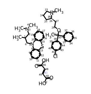 CC(CN(C)C)CN1c2ccccc2Sc2ccccc21.CN1CCC[C@@H]1CCO[C@](C)(c1ccccc1)c1ccc(Cl)cc1.O=C(O)/C=C/C(=O)O